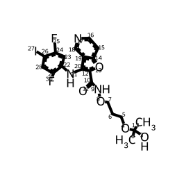 CC(C)(O)OCCCONC(=O)c1oc2ccncc2c1Nc1cc(F)c(I)cc1F